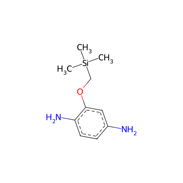 C[Si](C)(C)COc1cc(N)ccc1N